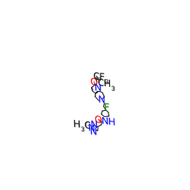 C[C@@H](Oc1ccc2c(n1)CCN(CC[C@]1(F)CC[C@@H](NC(=O)Cc3cnn(C)n3)CC1)CC2)C(F)(F)F